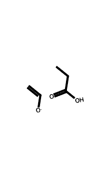 C=C[O].CCC(=O)O